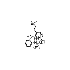 C[Si](C)(C)CCc1cnc(Cl)nc1Nc1ccccc1NS(C)(=O)=O